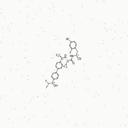 N#Cc1ccc(C[C@@H](C#N)NC(=O)[C@@H](N[C@@H](c2ccc(-c3ccc([C@@H](O)C(F)F)cc3)cc2)C(F)(F)F)C2CC2)c(F)c1